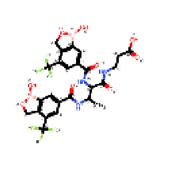 CC(NC(=O)c1cc2c(c(C(F)(F)F)c1)COB2O)C(NC(=O)c1cc2c(c(C(F)(F)F)c1)COB2O)C(=O)NCCC(=O)O